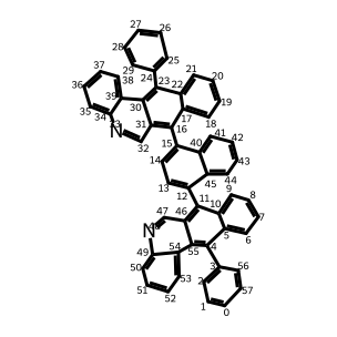 c1ccc(-c2c3ccccc3c(-c3ccc(-c4c5ccccc5c(-c5ccccc5)c5c4cnc4ccccc45)c4ccccc34)c3cnc4ccccc4c23)cc1